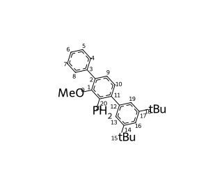 COc1c(-c2ccccc2)ccc(-c2cc(C(C)(C)C)cc(C(C)(C)C)c2)c1P